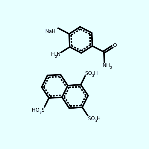 Cc1ccc(C(N)=O)cc1N.O=S(=O)(O)c1cc(S(=O)(=O)O)c2cccc(S(=O)(=O)O)c2c1.[NaH]